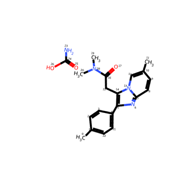 Cc1ccc(-c2nc3ccc(C)cn3c2CC(=O)N(C)C)cc1.NC(=O)O